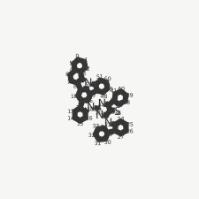 c1ccc2c(c1)ccc1c3cc4c5ccccc5n(-c5nc(-n6c7ccccc7c7ccccc76)c6sc7ccccc7c6n5)c4c4c5ccccc5n(c21)c34